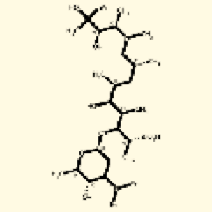 CCCC(C)(O)[C@H](O)[C@@H](C)N(C)C[C@H](C)C[C@H](C)C(O)[C@@H](C)C(O[C@H]1CC(N(CC)CC)[C@H](O)[C@@H](C)O1)[C@@H](C)C(=O)O